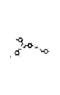 Oc1ccc(CCN(CCc2ccc(OCCOCCc3ccccc3)cc2)C[C@H](O)c2cccc(Cl)c2)cc1Cl